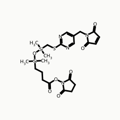 C[Si](C)(CCCC(=O)ON1C(=O)CCC1=O)O[Si](C)(C)CSc1ncc(CN2C(=O)C=CC2=O)cn1